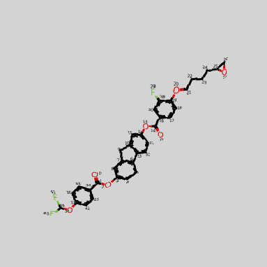 O=C(Oc1ccc2c(c1)Cc1cc(OC(=O)c3ccc(OCCCCC4CO4)c(F)c3)ccc1-2)c1ccc(OC(F)F)cc1